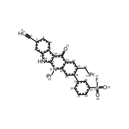 C#Cc1ccc2c(c1)[nH]c1c2c(=O)c2cc(CC(C)C)c(-c3cccc(S(=O)(=O)F)c3)cc2n1C(C)C